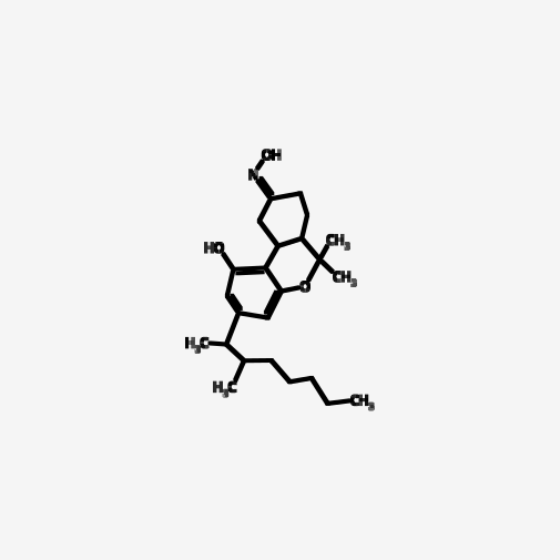 CCCCCC(C)C(C)c1cc(O)c2c(c1)OC(C)(C)C1CC/C(=N\O)CC21